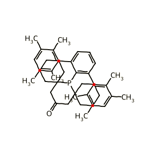 Cc1cc(C)c(C)c(-c2cccc(-c3c(C)c(C)cc(C)c3C)c2P2C3(CCCCC3)CC(=O)CC23CCCCC3)c1C